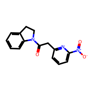 O=C(Cc1cccc([N+](=O)[O-])n1)N1CCc2ccccc21